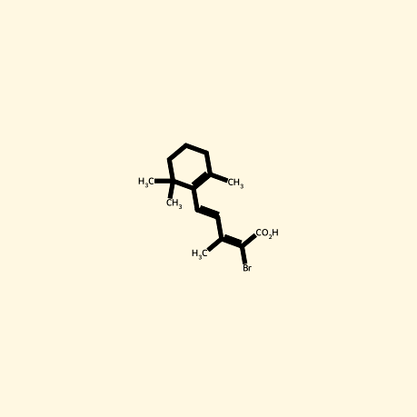 CC1=C(/C=C/C(C)=C(/Br)C(=O)O)C(C)(C)CCC1